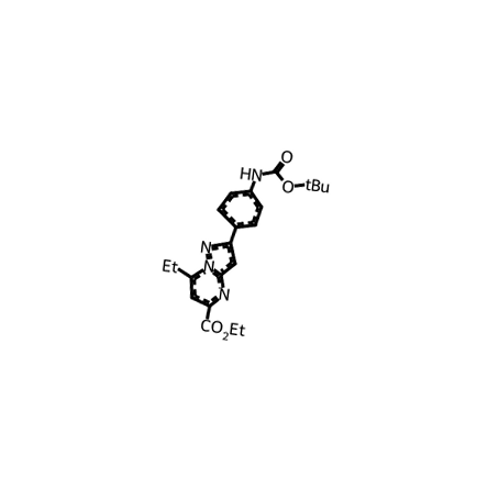 CCOC(=O)c1cc(CC)n2nc(-c3ccc(NC(=O)OC(C)(C)C)cc3)cc2n1